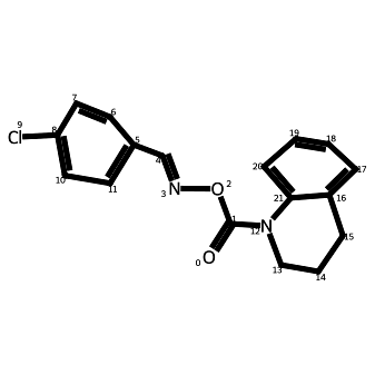 O=C(ON=Cc1ccc(Cl)cc1)N1CCCc2ccccc21